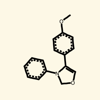 COc1ccc(C2=COCN2c2ccccc2)cc1